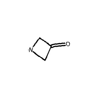 O=C1C[N]C1